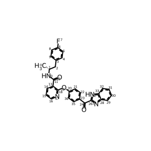 C[C@H](Cc1ccc(F)cc1)NC(=O)c1cccnc1Oc1ccc(C(=O)c2nc3ccccc3[nH]2)cc1